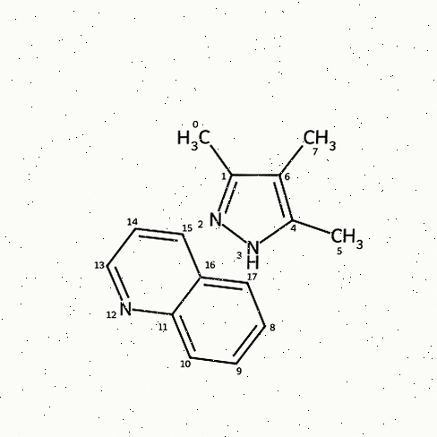 Cc1n[nH]c(C)c1C.c1ccc2ncccc2c1